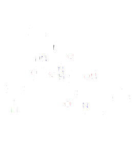 O=C(N[C@@H](CC1CCCCC1)C(=O)N[C@H](CO)CCC(=O)N1CCCC(c2ccccc2)C1)OCc1cccc(Cl)c1